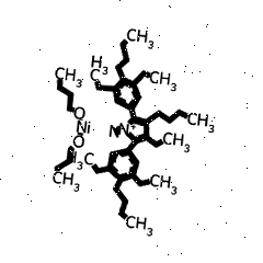 CCCCC1=C(c2cc(CC)c(CCCC)c(CC)c2)[N+](=[N-])C(c2cc(CC)c(CCCC)c(CC)c2)=C1CC.CCCC[O][Ni][O]CCCC